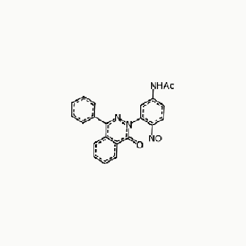 CC(=O)Nc1ccc(N=O)c(-n2nc(-c3ccccc3)c3ccccc3c2=O)c1